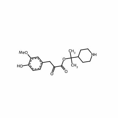 COc1cc(CC(=O)C(=O)OC(C)(C)C2CCNCC2)ccc1O